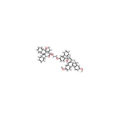 COc1ccc2c(c1)C(C)(C)c1c3c(c4cc(OC)ccc4c1-2)OC(c1ccccc1)(c1ccc(OCCOC(=O)C2=CCOc4c2c2c(c5ccccc45)-c4ccccc4C2)cc1)C=C3